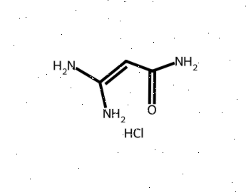 Cl.NC(=O)C=C(N)N